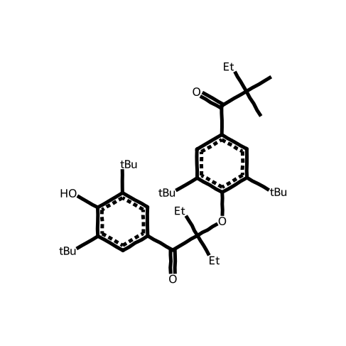 CCC(C)(C)C(=O)c1cc(C(C)(C)C)c(OC(CC)(CC)C(=O)c2cc(C(C)(C)C)c(O)c(C(C)(C)C)c2)c(C(C)(C)C)c1